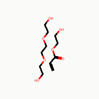 C=CC(=O)OCCO.OCCOCCOCCO